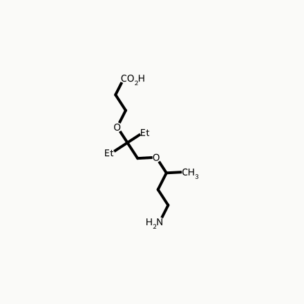 CCC(CC)(COC(C)CCN)OCCC(=O)O